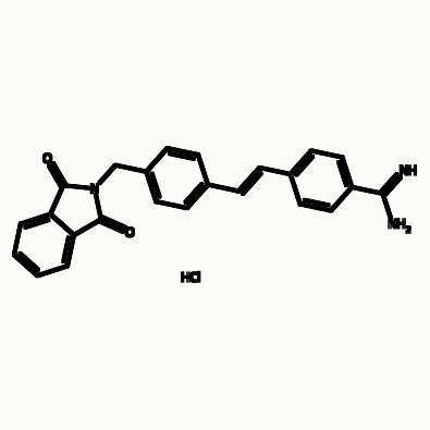 Cl.N=C(N)c1ccc(/C=C/c2ccc(CN3C(=O)c4ccccc4C3=O)cc2)cc1